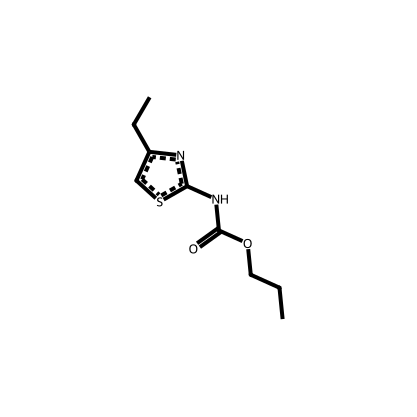 CCCOC(=O)Nc1nc(CC)cs1